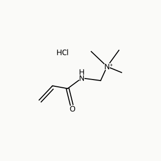 C=CC(=O)NC[N+](C)(C)C.Cl